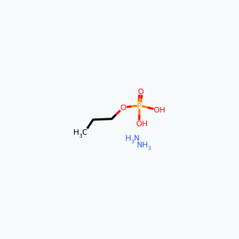 CCCOP(=O)(O)O.N.N